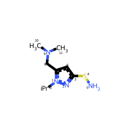 CC(C)n1nc(SN)cc1CN(C)C